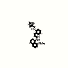 COc1cccc2c1C(Nc1ccc3c(NCc4cnc[nH]4)cccc3n1)CCC2